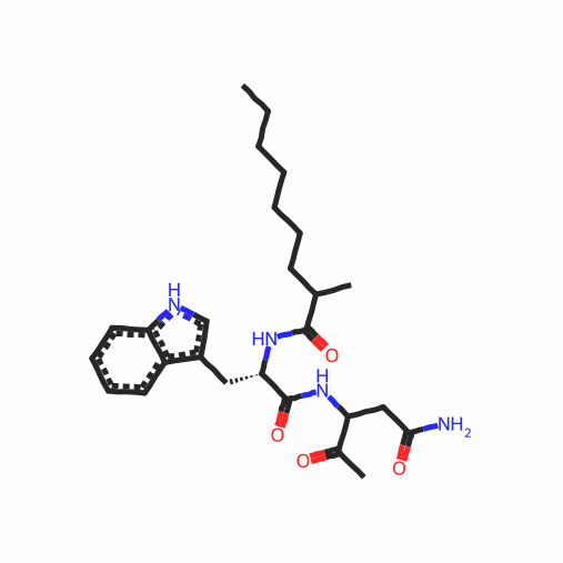 CCCCCCCC(C)C(=O)N[C@@H](Cc1c[nH]c2ccccc12)C(=O)NC(CC(N)=O)C(C)=O